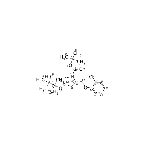 CC(C)(C)OC(=O)N1C[C@@H](O[Si](C)(C)C(C)(C)C)C[C@@H]1COc1ccccc1Cl